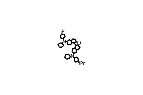 CC(C)c1ccc(N(c2ccccc2)c2ccc3c(ccc4oc5ccc6cc(N(c7ccccc7)c7ccc(C(C)C)cc7)ccc6c5c43)c2)cc1